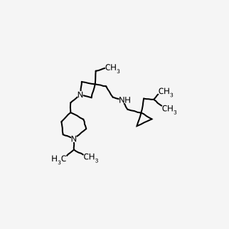 CCC1(CCNCC2(CC(C)C)CC2)CN(CC2CCN(C(C)C)CC2)C1